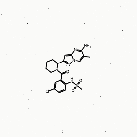 Cc1cn2nc([C@@H]3CCCCN3C(=O)c3cc(Cl)ccc3NS(C)(=O)=O)cc2nc1N